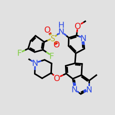 COc1ncc(-c2cc(OC3CCN(C)CC3)c3ncnc(C)c3c2)cc1NS(=O)(=O)c1ccc(F)cc1F